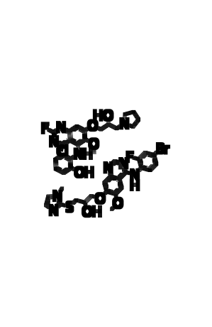 COc1c(OCC(O)CN2CCCC2)cc2nc(F)nc(Cl)c2c1Nc1ccccc1O.COc1cc2c(Nc3ccc(Br)cc3F)ncnc2cc1OCC(O)CSc1nccn1C